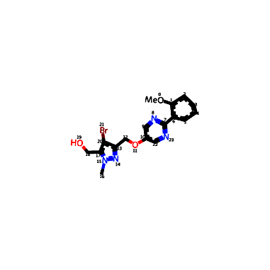 COc1ccccc1-c1ncc(OCc2nn(C)c(CO)c2Br)cn1